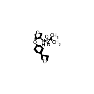 CC(C)S(=O)(=O)N[C@@H]1COC[C@@H]1Oc1ccc(-c2ccoc2)cc1